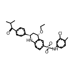 CCO[C@H]1C[C@H](c2ccc(C(=O)C(C)C)cc2)Nc2ccc(S(=O)(=O)Nc3ccc(C)c(Cl)c3)cc21